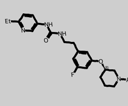 CCc1ccc(NC(=O)NCCc2cc(F)cc(O[C@@H]3CCCN(C(C)=O)C3)c2)cn1